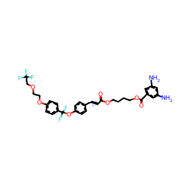 Nc1cc(N)cc(C(=O)OCCCCOC(=O)/C=C/c2ccc(OC(F)(F)c3ccc(OCCOCC(F)(F)F)cc3)cc2)c1